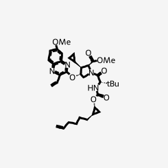 C=CCCCC[C@@H]1C[C@H]1OC(=O)N[C@H](C(=O)N1C[C@H](Oc2nc3cc(OC)ccc3nc2C=C)[C@@H](C2CC2)[C@H]1C(=O)OC)C(C)(C)C